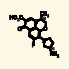 C[C@H]1COc2c(N3CC[C@@H](N)C3)c(F)cc3c(=O)c(C(=O)O)cn1c23